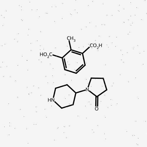 Cc1c(C(=O)O)cccc1C(=O)O.O=C1CCCN1C1CCNCC1